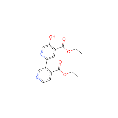 CCOC(=O)c1cc(-c2cnccc2C(=O)OCC)ncc1O